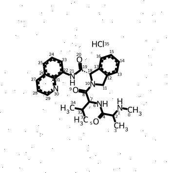 CNC(C)C(=O)NC(C(=O)N1Cc2ccccc2[C@H]1C(=O)Nc1cccc2cccnc12)C(C)C.Cl